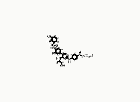 CCOC(=O)N=[SH](=O)c1ccc(Nc2ncc(-c3ccc(NS(=O)(=O)c4cccc(Cl)c4Cl)c(F)c3)c(NC(C)CO)n2)cc1